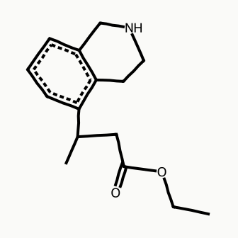 CCOC(=O)CC(C)c1cccc2c1CCNC2